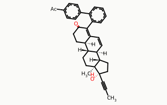 CC#C[C@]1(O)CC[C@H]2[C@@H]3C=CC4=C(c5ccccc5-c5ccc(C(C)=O)cc5)C(=O)CC[C@@H]4[C@H]3CC[C@@]21C